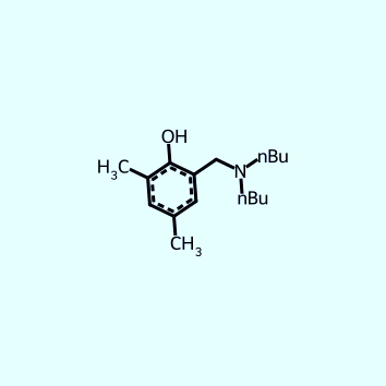 CCCCN(CCCC)Cc1cc(C)cc(C)c1O